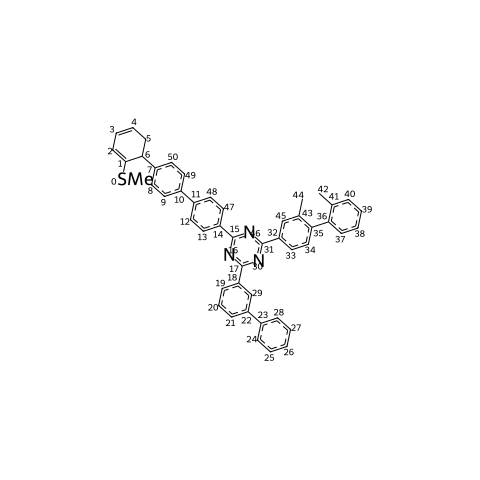 CSC1=CC=CCC1c1ccc(-c2ccc(-c3nc(-c4cccc(-c5ccccc5)c4)nc(-c4ccc(-c5ccccc5C)c(C)c4)n3)cc2)cc1